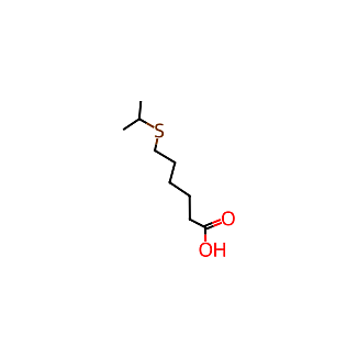 CC(C)SCCCCCC(=O)O